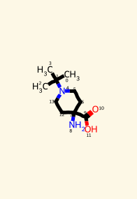 CC(C)(C)N1CCC(N)(C(=O)O)CC1